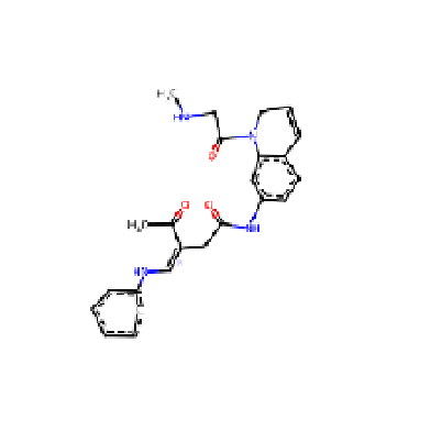 CNCC(=O)N1CC=Cc2ccc(NC(=O)C/C(=C/Nc3ccccc3)C(C)=O)cc21